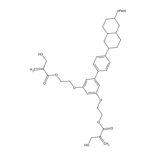 C=C(CO)C(=O)OCCOc1cc(OCCOC(=O)C(=C)CO)cc(-c2ccc(C3CCC4CC(CCCCC)CCC4C3)cc2)c1